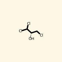 O[C@@H](CCl)C(Cl)Cl